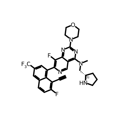 C#Cc1c(F)ccc2cc(C(F)(F)F)cc(-c3ncc4c(N(C)C[C@@H]5CCCN5)nc(N5CCOCC5)nc4c3F)c12